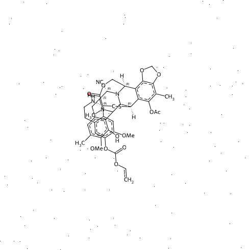 C=COC(=O)Oc1cc2c(cc1OC)[C@@]1(CS[C@@H]3c4c(OC(C)=O)c(C)c5c(c4[C@H](COC1=O)N1C3C3c4c(cc(C)c(OC)c4O)C[C@@H]([C@@H]1C#N)N3C)OCO5)NCC2